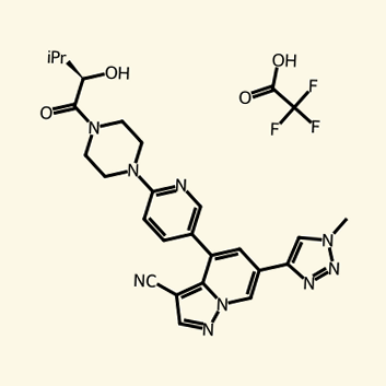 CC(C)[C@@H](O)C(=O)N1CCN(c2ccc(-c3cc(-c4cn(C)nn4)cn4ncc(C#N)c34)cn2)CC1.O=C(O)C(F)(F)F